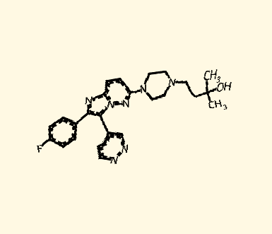 CC(C)(O)CCN1CCN(c2ccc3nc(-c4ccc(F)cc4)c(-c4ccnnc4)n3n2)CC1